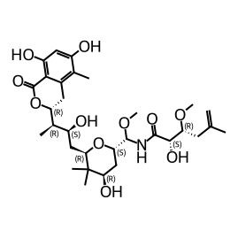 C=C(C)C[C@@H](OC)[C@H](O)C(=O)NC(OC)[C@@H]1C[C@@H](O)C(C)(C)[C@@H](C[C@H](O)[C@@H](C)[C@H]2Cc3c(C)c(O)cc(O)c3C(=O)O2)O1